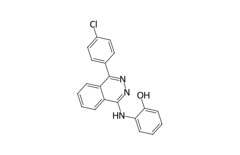 Oc1ccccc1Nc1nnc(-c2ccc(Cl)cc2)c2ccccc12